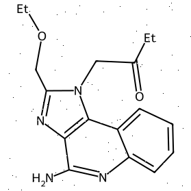 CCOCc1nc2c(N)nc3ccccc3c2n1CC(=O)CC